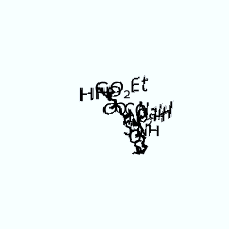 CCOC(=O)NC(=O)CCC(=O)OCC1=C(C(=O)O)N2C(=O)[C@@H](NC(=O)Cc3cccs3)[C@H]2SC1.[NaH]